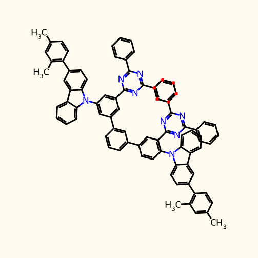 Cc1ccc(-c2ccc3c(c2)c2ccccc2n3-c2cc(-c3cccc(-c4ccc(-n5c6ccccc6c6cc(-c7ccc(C)cc7C)ccc65)c(-c5nc(-c6ccccc6)nc(-c6ccccc6)n5)c4)c3)cc(-c3nc(-c4ccccc4)nc(-c4ccccc4)n3)c2)c(C)c1